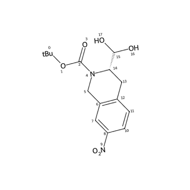 CC(C)(C)OC(=O)N1Cc2cc([N+](=O)[O-])ccc2C[C@H]1C(O)O